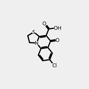 O=C(O)c1c2n(c3ccc(Cl)cc3c1=O)CCS2